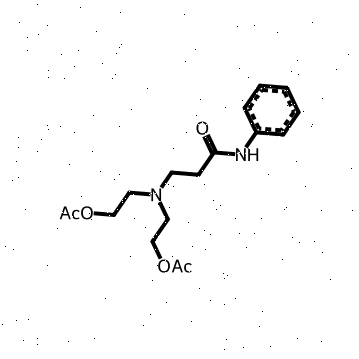 CC(=O)OCCN(CCOC(C)=O)CCC(=O)Nc1ccccc1